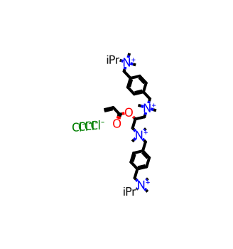 C=CC(=O)OC(C[N+](C)(C)Cc1ccc(C[N+](C)(C)C(C)C)cc1)C[N+](C)(C)Cc1ccc(C[N+](C)(C)C(C)C)cc1.[Cl-].[Cl-].[Cl-].[Cl-]